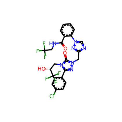 O=C(NCC(F)(F)F)c1ccccc1-n1cnc(Cn2nc(-c3ccc(Cl)cc3)n(C[C@@H](O)C(F)(F)F)c2=O)n1